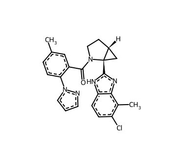 Cc1ccc(-n2cccn2)c(C(=O)N2CC[C@@H]3C[C@@]32c2nc3c(C)c(Cl)ccc3[nH]2)c1